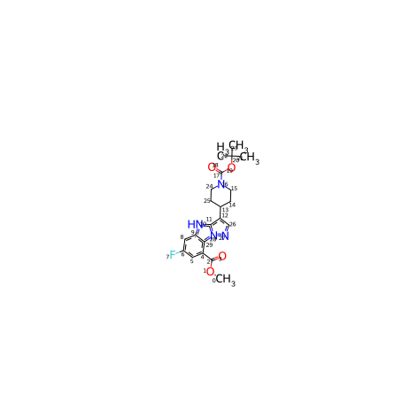 COC(=O)c1cc(F)cc2[nH]c3c(C4CCN(C(=O)OC(C)(C)C)CC4)cnn3c12